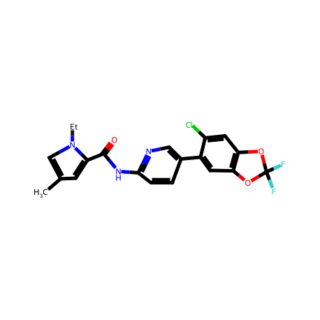 CCn1cc(C)cc1C(=O)Nc1ccc(-c2cc3c(cc2Cl)OC(F)(F)O3)cn1